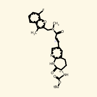 Cc1c(CN(C)C(=O)/C=C/c2cnc3c(c2)CC[C@H](NC(=O)OC(C)(C)C)C(=O)N3)oc2c(F)cccc12